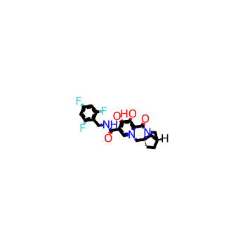 O=C(NCc1c(F)cc(F)cc1F)c1cn2c(c(O)c1=O)C(=O)N1C[C@@H]3CC[C@]1(C3)C2